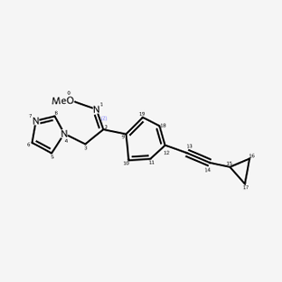 CO/N=C(\Cn1ccnc1)c1ccc(C#CC2CC2)cc1